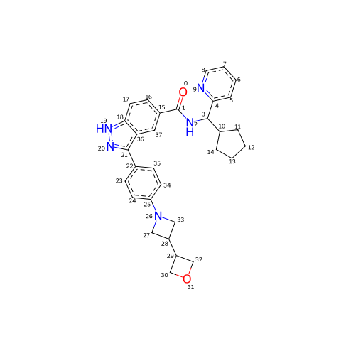 O=C(NC(c1ccccn1)C1CCCC1)c1ccc2[nH]nc(-c3ccc(N4CC(C5COC5)C4)cc3)c2c1